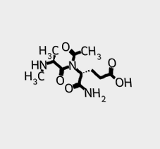 CN[C@@H](C)C(=O)N(C(C)=O)[C@H](CCC(=O)O)C(N)=O